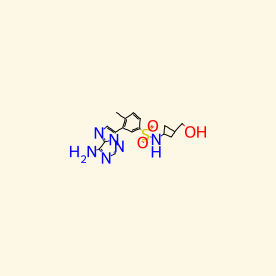 Cc1ccc(S(=O)(=O)NC2CC(CO)C2)cc1-c1cnc2c(N)ncnn12